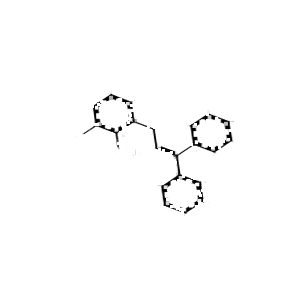 O=C(O)c1cccc(CC=C(c2ccccc2)c2ccccc2)c1C(=O)O